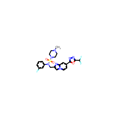 CN1CCN(S(=O)(=O)N(Cc2cn3ccc(-c4nnc(C(F)F)o4)cc3n2)c2cccc(F)c2)CC1